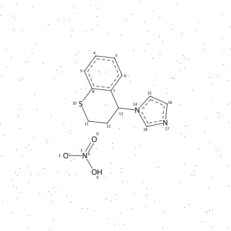 O=[N+]([O-])O.c1ccc2c(c1)SCCC2n1ccnc1